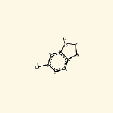 Clc1ccc2c(c1)NC[CH]2